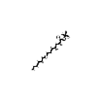 [CH2]CCCCCOCCCCCCC(=O)OC(C)(C)C